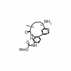 COC(=O)Nc1ccc2c(c1)NC(=O)[C@@H](C)CCC[C@H](N)c1cc-2ccn1